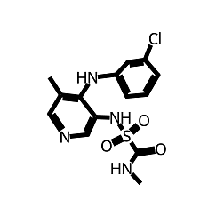 CNC(=O)S(=O)(=O)Nc1cncc(C)c1Nc1cccc(Cl)c1